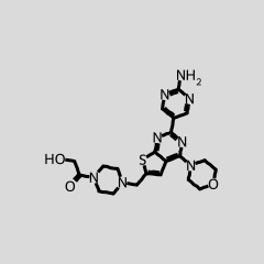 Nc1ncc(-c2nc(N3CCOCC3)c3cc(CN4CCN(C(=O)CO)CC4)sc3n2)cn1